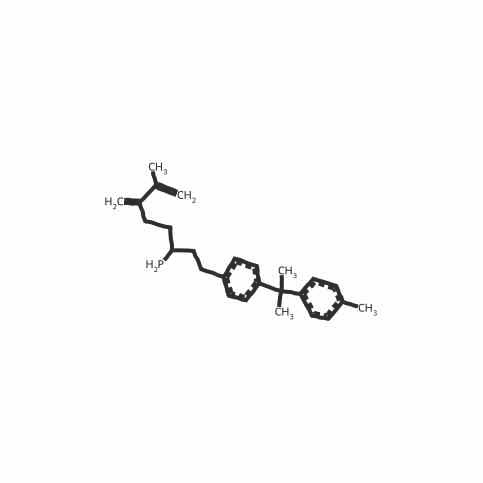 C=C(C)C(=C)CCC(P)CCc1ccc(C(C)(C)c2ccc(C)cc2)cc1